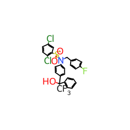 O=S(=O)(c1cc(Cl)ccc1Cl)N(Cc1ccc(F)cc1)c1ccc(C(O)(c2ccccc2)C(F)(F)F)cc1